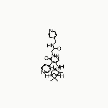 C[C@H]1[C@H]2C[C@H](C[C@H]1Nc1cnn(CC(=O)NCc3ccncc3)c(=O)c1-c1ccncc1)C2(C)C